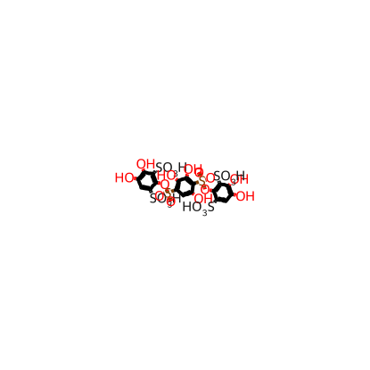 O=S(=O)(O)c1cc(O)c(O)c(S(=O)(=O)O)c1OS(=O)(=O)c1cc(O)c(S(=O)(=O)Oc2c(S(=O)(=O)O)cc(O)c(O)c2S(=O)(=O)O)c(O)c1O